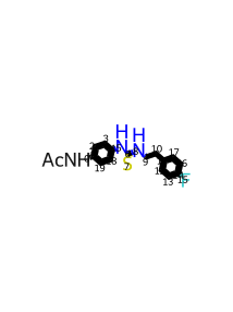 CC(=O)Nc1ccc(NC(=S)NCCc2ccc(F)cc2)cc1